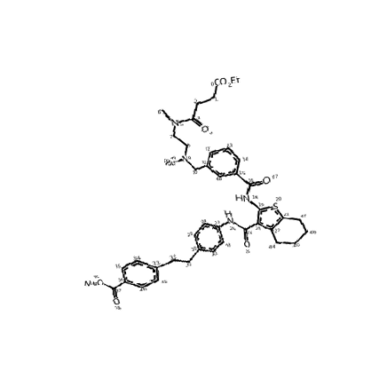 CCOC(=O)CCC(=O)N(C)CCN(Cc1cccc(C(=O)Nc2sc3c(c2C(=O)Nc2ccc(CCc4ccc(C(=O)OC)cc4)cc2)CCCC3)c1)[C@H](C)CC